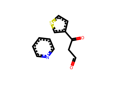 O=CCC(=O)c1ccsc1.c1ccncc1